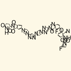 N#Cc1c(NS(=O)(=O)N2CC[C@@H](F)C2)ccc(F)c1Oc1ccc2ncn(-c3cnc(N4CCN(c5cc(N6CCN(c7ccc8c(c7)C(=O)N(C7CCC(=O)NC7=O)C8=O)CC6)ncn5)CC4)nc3)c(=O)c2c1